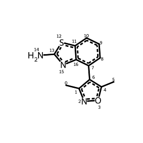 Cc1noc(C)c1-c1cccc2sc(N)nc12